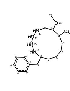 COC1CCCCC(Cc2ccccc2)NNNNCC1OC